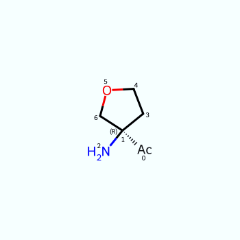 CC(=O)[C@@]1(N)CCOC1